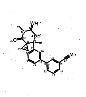 CN1C(=N)N[C@](C)(c2cccc(-c3cccc(C#N)c3)c2)C2(CC2)C1=O